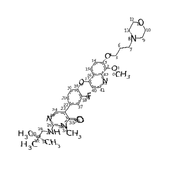 COc1c(OCCCN2CCOCC2)ccc2c(Oc3ccc(-c4cnc(NCC(C)(C)C)n(C)c4=O)cc3F)ccnc12